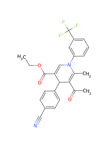 CCOC(=O)C1=CN(c2cccc(C(F)(F)F)c2)C(C)=C(C(C)=O)C1c1ccc(C#N)cc1